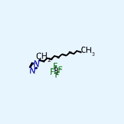 C=C(CCCCCCCCCCCC)n1ccnc1.F[B-](F)(F)F